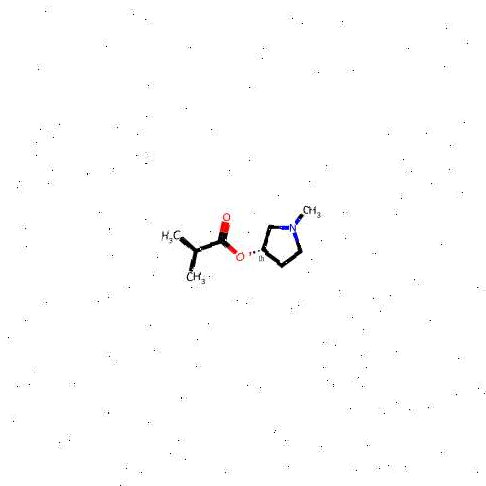 CC(C)C(=O)O[C@H]1CCN(C)C1